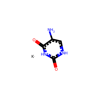 Nc1c[nH]c(=O)[nH]c1=O.[K]